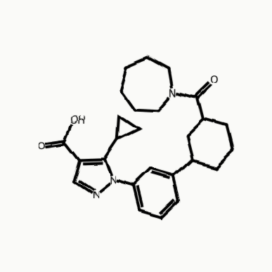 O=C(O)c1cnn(-c2cccc(C3CCCC(C(=O)N4CCCCCC4)C3)c2)c1C1CC1